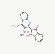 O=C1c2ccccc2C(=O)C1c1nc2ccccc2c(S(=O)(=O)O)c1S(=O)(=O)O.[NaH]